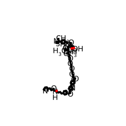 Cc1ncsc1-c1ccc(CNC(=O)[C@@H]2C[C@@H](O)CN2C(=O)[C@@H](NC(=O)CCOCCOCCOCCOCCC(=O)N2CCN(c3ccc(C(=O)N4CCC(CCCCNC(=O)/C=C/c5cccnc5)CC4)cn3)CC2)C(C)(C)C)cc1